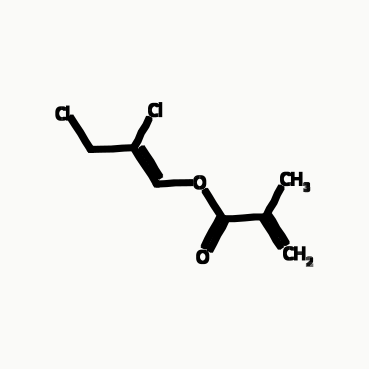 C=C(C)C(=O)OC=C(Cl)CCl